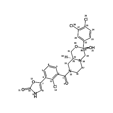 O=C(c1cccc(-c2c[nH]c(=O)o2)c1Cl)N1CCN2C[C@@](O)(c3ccc(Cl)c(Cl)c3)OC[C@@H]2C1